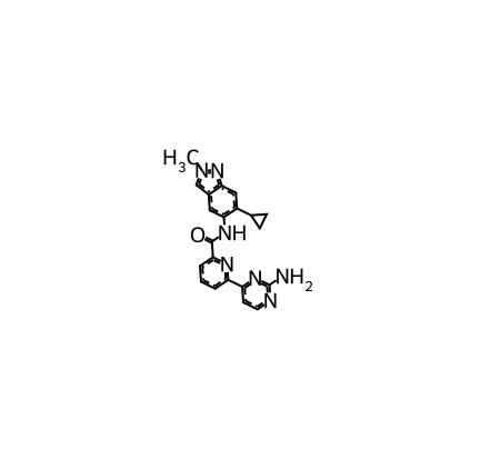 Cn1cc2cc(NC(=O)c3cccc(-c4ccnc(N)n4)n3)c(C3CC3)cc2n1